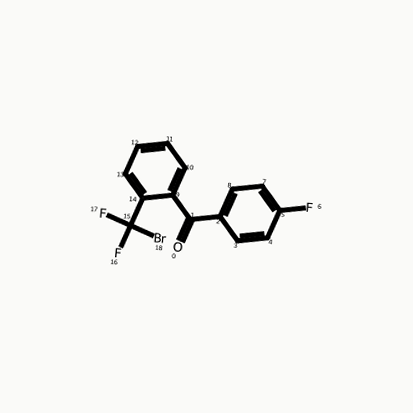 O=C(c1ccc(F)cc1)c1ccccc1C(F)(F)Br